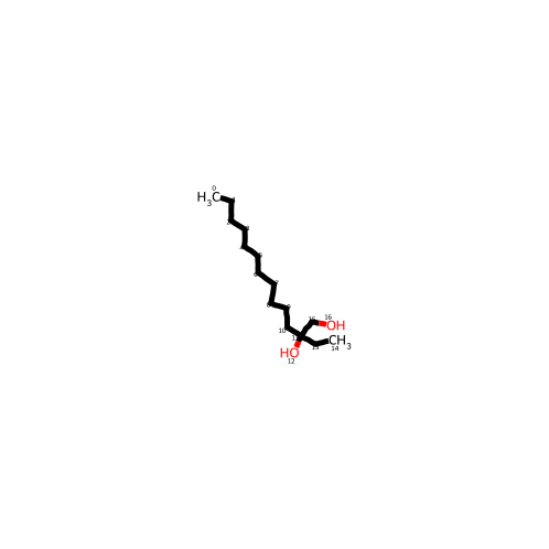 CCCCCCCCCCCC(O)(CC)CO